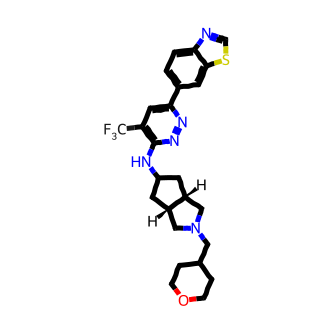 FC(F)(F)c1cc(-c2ccc3ncsc3c2)nnc1NC1C[C@@H]2CN(CC3CCOCC3)C[C@@H]2C1